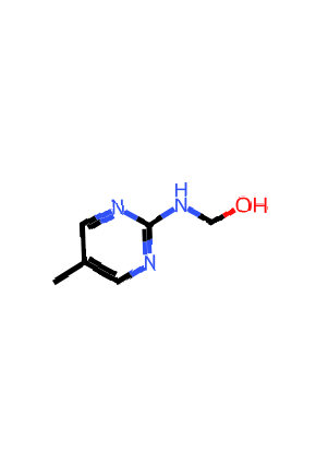 Cc1cnc(NCO)nc1